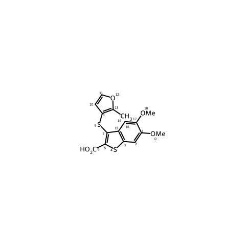 COc1cc2sc(C(=O)O)c(Sc3ccoc3C)c2cc1OC